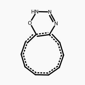 c1ccccc2c(ccc1)N=NNO2